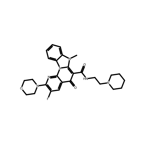 Cn1c2ccccc2n2c3nc(N4CCOCC4)c(F)cc3c(=O)c(C(=O)NCCN3CCCCC3)c12